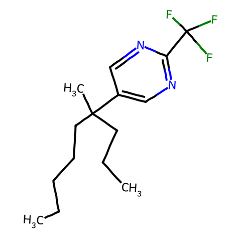 CCCCCC(C)(CCC)c1cnc(C(F)(F)F)nc1